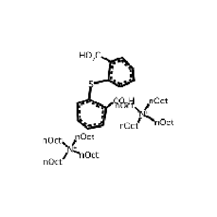 CCCCCCCC[N+](CCCCCCCC)(CCCCCCCC)CCCCCCCC.CCCCCCCC[N+](CCCCCCCC)(CCCCCCCC)CCCCCCCC.O=C(O)c1ccccc1Sc1ccccc1C(=O)O